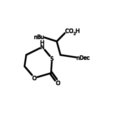 CCCCCCCCCCCC(CCCC)C(=O)O.O=C1OCCNS1